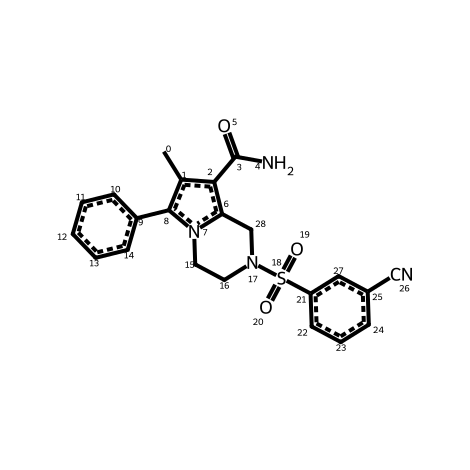 Cc1c(C(N)=O)c2n(c1-c1ccccc1)CCN(S(=O)(=O)c1cccc(C#N)c1)C2